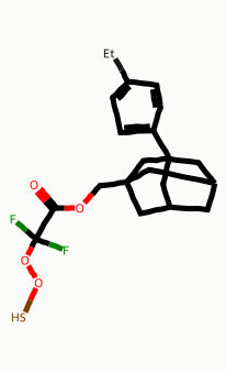 CCc1ccc(C23CC4CC(CC(COC(=O)C(F)(F)OOS)(C4)C2)C3)cc1